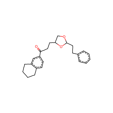 O=C(CCC1COC(CCc2ccccc2)O1)c1ccc2c(c1)CCCC2